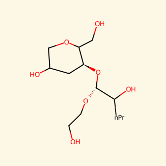 CCCC(O)[C@H](OCCO)O[C@H]1CC(O)COC1CO